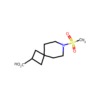 CS(=O)(=O)N1CCC2(CC1)CC(C(=O)O)C2